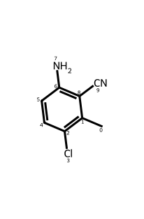 Cc1c(Cl)ccc(N)c1C#N